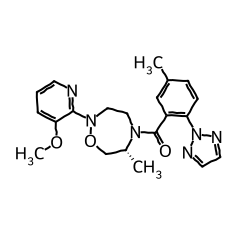 COc1cccnc1N1CCN(C(=O)c2cc(C)ccc2-n2nccn2)[C@H](C)CO1